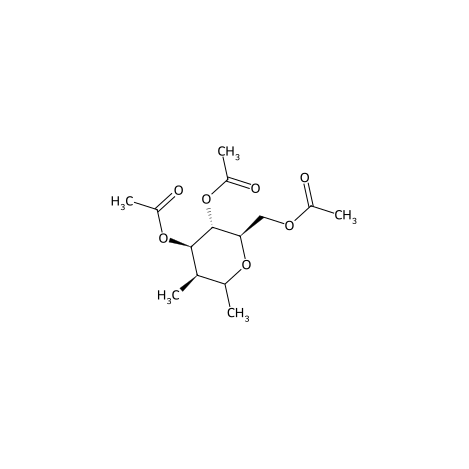 CC(=O)OC[C@H]1OC(C)[C@@H](C)[C@@H](OC(C)=O)[C@@H]1OC(C)=O